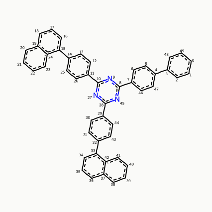 c1ccc(-c2ccc(-c3nc(-c4ccc(-c5cccc6ccccc56)cc4)nc(-c4ccc(-c5cccc6ccccc56)cc4)n3)cc2)cc1